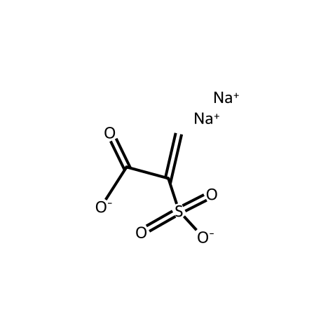 C=C(C(=O)[O-])S(=O)(=O)[O-].[Na+].[Na+]